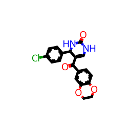 O=C1NC=C(C(=O)c2ccc3c(c2)OCCO3)C(c2ccc(Cl)cc2)N1